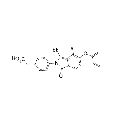 C=CC(=C)Oc1ccc2c(c1=C)=C(CC)N(c1ccc(CC(=O)O)cc1)C2=O